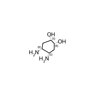 N[C@@H]1C[C@H](O)[C@H](O)C[C@@H]1N